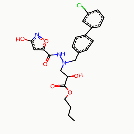 CCCCOC(=O)[C@H](O)CN(Cc1ccc(-c2cccc(Cl)c2)cc1)NC(=O)c1cc(O)no1